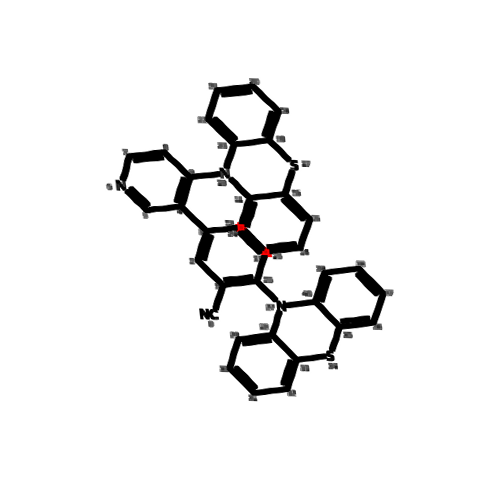 N#Cc1cc(-c2cnccc2N2c3ccccc3Sc3ccccc32)ccc1N1c2ccccc2Sc2ccccc21